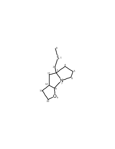 CSCC12CCCN1C1OCCC1C2